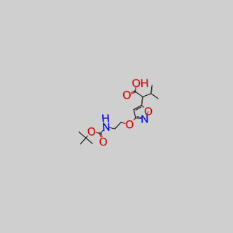 CC(C)C(C(=O)O)c1cc(OCCNC(=O)OC(C)(C)C)no1